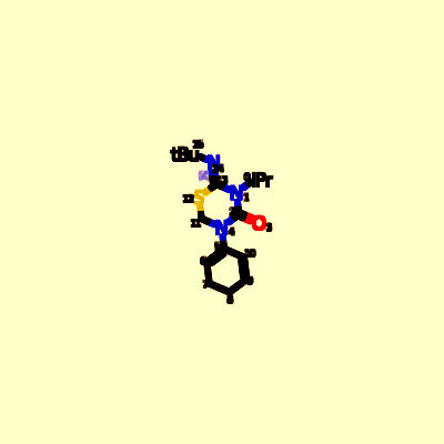 CC(C)N1C(=O)N(C2=CCCC=C2)CS/C1=N\C(C)(C)C